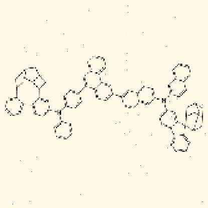 c1ccc(N(c2ccc(-c3cc4ccccc4c4cc(-c5ccc6cc(N(c7ccc8c(c7)C7(c9ccccc9-8)C8CC9CC(C8)CC7C9)c7ccc8ccccc8c7)ccc6c5)ccc34)cc2)c2ccc3c(c2)C2CC4CC5CC(CC42C5)c2ccccc2-3)cc1